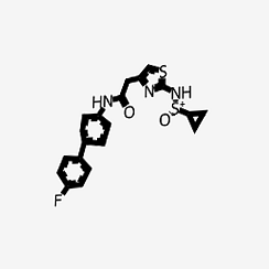 O=C(Cc1csc(N[S+]([O-])C2CC2)n1)Nc1ccc(-c2ccc(F)cc2)cc1